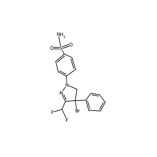 NS(=O)(=O)c1ccc(N2CC(Br)(c3ccccc3)C(C(F)F)=N2)cc1